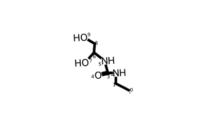 [CH2]CNC(=O)NC(O)CO